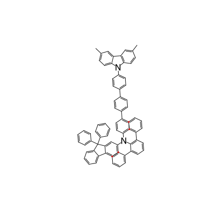 Cc1ccc2c(c1)c1cc(C)ccc1n2-c1ccc(-c2ccc(-c3ccc(N(c4ccc5c(c4)C(c4ccccc4)(c4ccccc4)c4ccccc4-5)c4c(-c5ccccc5)cccc4-c4ccccc4)cc3)cc2)cc1